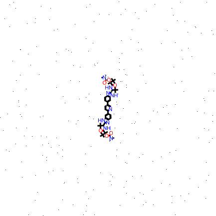 CN(C)C(=O)OC(C)(C(=O)N[C@H](c1nc2ccc(-c3ccc(-c4ccc5nc([C@@H](NC(=O)C(C)(OC(=O)N(C)C)C(C)(C)C)C(C)(C)C)[nH]c5c4)nc3)cc2[nH]1)C(C)(C)C)C(C)(C)C